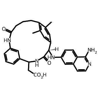 Cc1cc2cc(C)c1CCCC(=O)Nc1cccc(c1)C(CC(=O)O)NC(=O)[C@@H]2Nc1ccc2c(N)nccc2c1